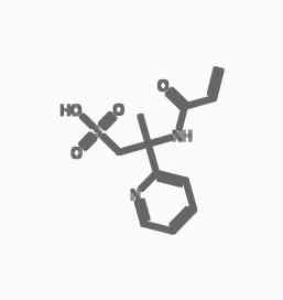 C=CC(=O)NC(C)(CS(=O)(=O)O)c1ccccn1